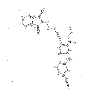 CCCN(C)c1nc(Nc2cccc(C#N)c2)ncc1C#CCCCN1C(=O)c2ccccc2C1=O